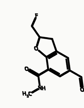 CNC(=O)c1cc(C=O)cc2c1OC(CF)C2